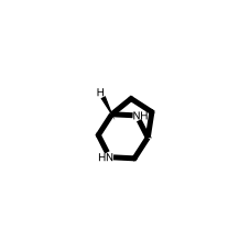 C1C[C@H]2CNC[C]1N2